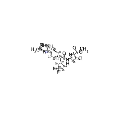 COC(=O)c1nc(NC(=O)C(c2ccc(/C(N)=N/N(C)N)cc2)C2CCC(F)(F)C2)sc1Cl